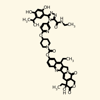 CCNC(=O)c1nnc(-c2cc(C(C)C)c(O)cc2O)n1-c1ccc(OC2CCN(C(=O)Oc3ccc4nc5c(c(CC)c4c3)Cn3c-5cc4c(c3=O)COC(=O)C4(O)CC)CC2)nc1